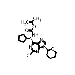 C=C(C)OC(=O)NN(c1nc(Cl)nc2c1ncn2C1CCCCO1)C1CCCC1